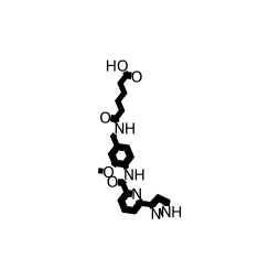 COc1cc(CNC(=O)CCCCC(=O)O)ccc1NC(=O)c1cccc(-c2cc[nH]n2)n1